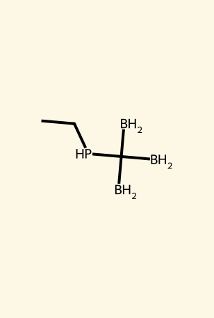 BC(B)(B)PCC